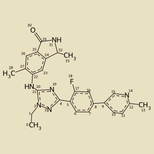 CCn1nc(-c2ccc(-c3ccc(C)nc3)cc2F)nc1Nc1cc2c(cc1C)C(=O)NC2C